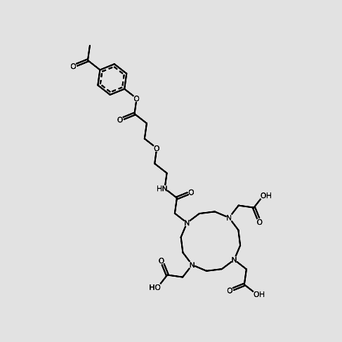 CC(=O)c1ccc(OC(=O)CCOCCNC(=O)CN2CCN(CC(=O)O)CCN(CC(=O)O)CCN(CC(=O)O)CC2)cc1